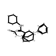 O=C(NC1CCCCC1)C12CC3C[C@](c4ccccc4)(C1)C[C@@]2(CCF)C3